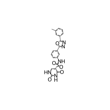 Cc1cccc(-c2nnc(-c3cccc(NS(=O)(=O)c4c[nH]c(=O)[nH]c4=O)c3)o2)c1